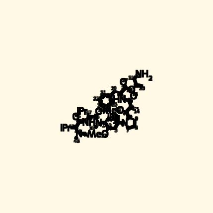 CC[C@H](C)C([C@@H](CC(=O)N1CCC[C@H]1[C@H](OC)[C@@H](C)C(=O)N[C@@H](Cc1ccccc1)C(=O)OC(C)CN)OC)N(C)C(=O)[C@@H](NC(=O)C(C(C)C)N(C)C)C(C)C